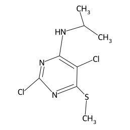 CSc1nc(Cl)nc(NC(C)C)c1Cl